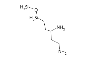 NCCC(N)CC[SiH2]O[SiH3]